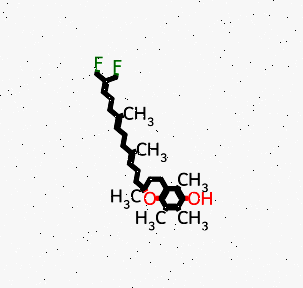 C/C(=C\CC/C(C)=C/CCC1(C)CCc2c(C)c(O)c(C)c(C)c2O1)CCC=C(CF)CF